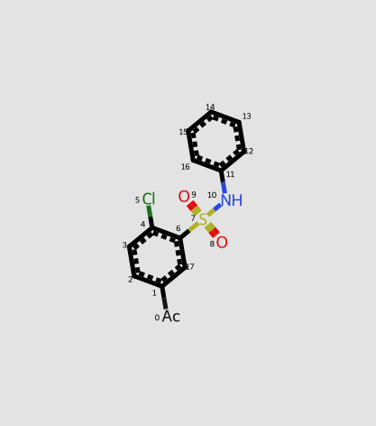 CC(=O)c1ccc(Cl)c(S(=O)(=O)Nc2ccccc2)c1